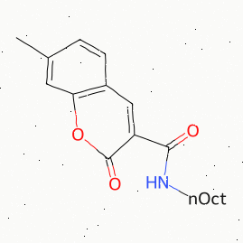 CCCCCCCCNC(=O)c1cc2ccc(C)cc2oc1=O